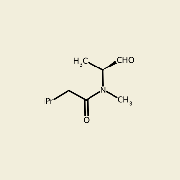 CC(C)CC(=O)N(C)[C@@H](C)[C]=O